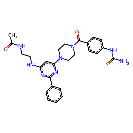 CC(=O)NCCNc1cc(N2CCN(C(=O)c3ccc(NC(N)=S)cc3)CC2)nc(-c2ccccc2)n1